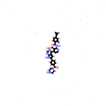 O=C(Nc1nccc(-c2ncnc3[nH]c(-c4ccc(C(=O)N5CCNCC5)cc4)cc23)c1CO)c1ccc(C2CC2)cc1F